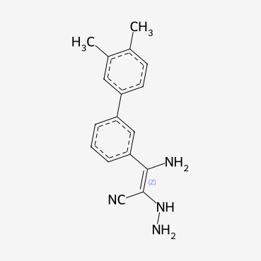 Cc1ccc(-c2cccc(/C(N)=C(\C#N)NN)c2)cc1C